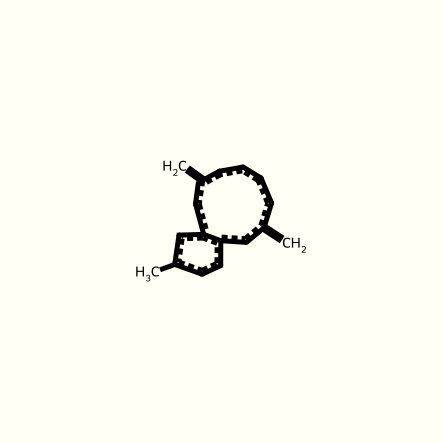 C=c1ccccc(=C)cc2cc(C)ccc2c1